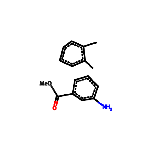 COC(=O)c1cccc(N)c1.Cc1ccccc1C